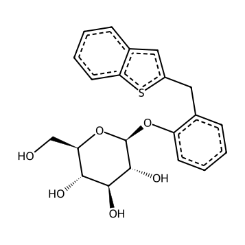 OC[C@H]1O[C@@H](Oc2ccccc2Cc2cc3ccccc3s2)[C@H](O)[C@@H](O)[C@@H]1O